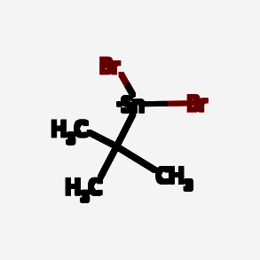 C[C](C)(C)[Sn]([Br])[Br]